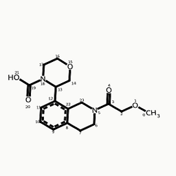 COCC(=O)N1CCc2cccc(C3COCCN3C(=O)O)c2C1